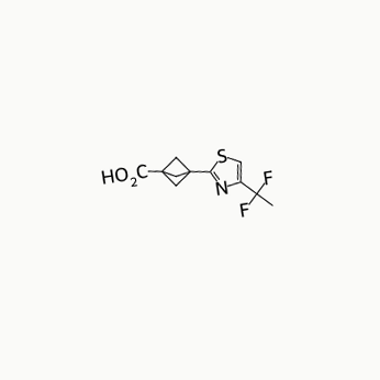 CC(F)(F)c1csc(C23CC(C(=O)O)(C2)C3)n1